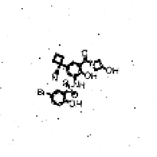 N#CC1(c2cc(NS(=O)(=O)c3cc(Br)ccc3O)c(O)c(C(=O)N3CC(O)C3)c2)CCC1